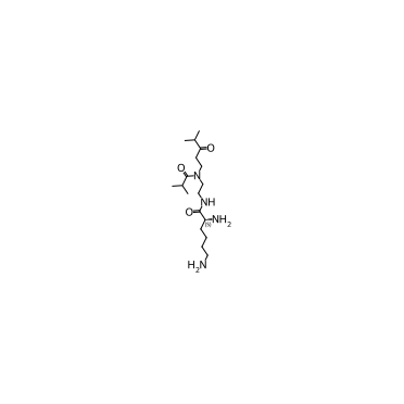 CC(C)C(=O)CCN(CCNC(=O)[C@@H](N)CCCCN)C(=O)C(C)C